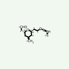 C=C1C[C@H](CC=O)O[C@@H](CCOB=[PH]=S)C1